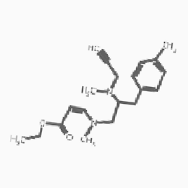 C#CCN(C)C(Cc1ccc(C)cc1)CN(C)/C=C\C(=O)OCC